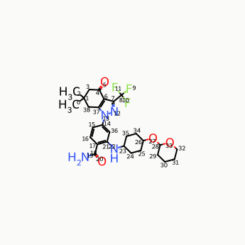 CC1(C)CC(=O)c2c(C(F)(F)F)nn(-c3ccc(C(N)=O)c(NC4CCC(OC5CCCCO5)CC4)c3)c2C1